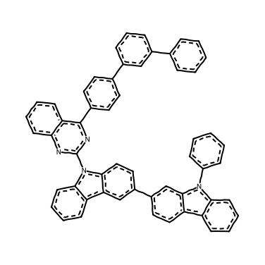 c1ccc(-c2cccc(-c3ccc(-c4nc(-n5c6ccccc6c6cc(-c7ccc8c9ccccc9n(-c9ccccc9)c8c7)ccc65)nc5ccccc45)cc3)c2)cc1